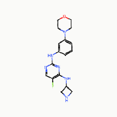 Fc1cnc(Nc2cccc(N3CCOCC3)c2)nc1NC1CNC1